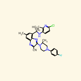 Cc1cc([C@@H](C)Nc2ccc(Cl)nc2C(=O)O)c2nc(N3CCN(c4ccc(F)cc4)CC3C)c(C#N)nc2c1